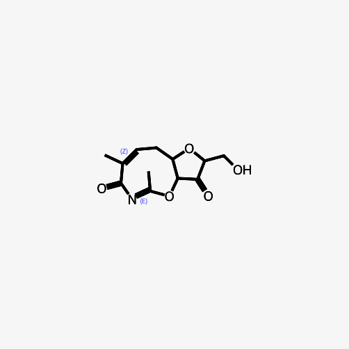 C/C1=C/CC2OC(CO)C(=O)C2O/C(C)=N/C1=O